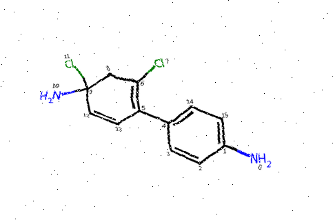 Nc1ccc(C2=C(Cl)CC(N)(Cl)C=C2)cc1